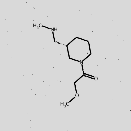 CNC[C@@H]1CCCN(C(=O)COC)C1